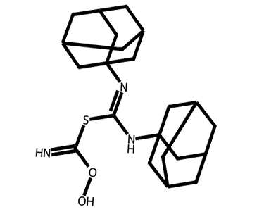 N=C(OO)SC(=NC12CC3CC(CC(C3)C1)C2)NC12CC3CC(CC(C3)C1)C2